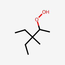 CCC(C)(CC)C(C)OO